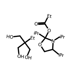 CCC(=O)OC1(C(C)C)OCC(C(C)C)N1C(C)C.CCC(CO)(CO)CO